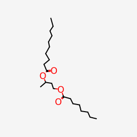 CCCCCCCCCC(=O)OC(C)CCOC(=O)CCCCCCC